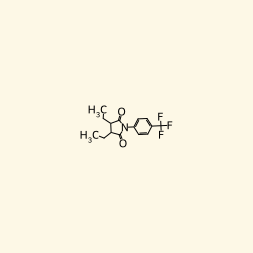 CCC1C(=O)N(c2ccc(C(F)(F)F)cc2)C(=O)C1CC